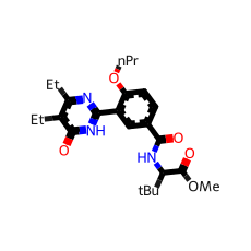 CCCOc1ccc(C(=O)NC(C(=O)OC)C(C)(C)C)cc1-c1nc(CC)c(CC)c(=O)[nH]1